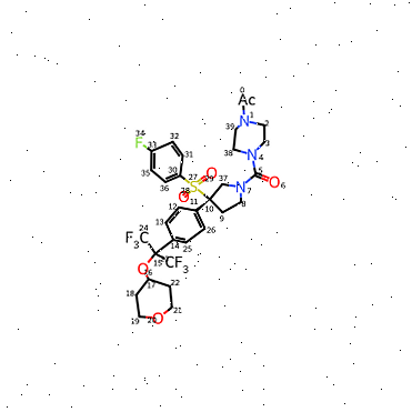 CC(=O)N1CCN(C(=O)N2CC[C@](c3ccc(C(OC4CCOCC4)(C(F)(F)F)C(F)(F)F)cc3)(S(=O)(=O)c3ccc(F)cc3)C2)CC1